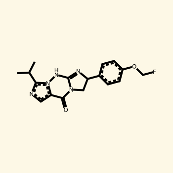 CC(C)c1ncc2n1NC1=NC(c3ccc(OCF)cc3)CN1C2=O